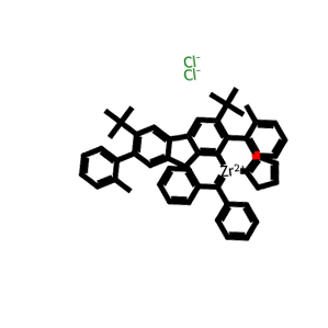 Cc1ccccc1-c1cc2c(cc1C(C)(C)C)-c1cc(C(C)(C)C)c(-c3ccccc3C)[c]([Zr+2]([C]3=CC=CC3)=[C](c3ccccc3)c3ccccc3)c1C2.[Cl-].[Cl-]